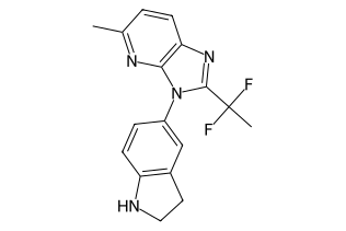 Cc1ccc2nc(C(C)(F)F)n(-c3ccc4c(c3)CCN4)c2n1